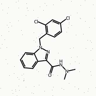 CN(C)NC(=O)c1nn(Cc2ccc(Cl)cc2Cl)c2ccccc12